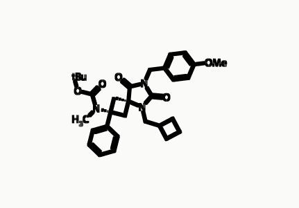 COc1ccc(CN2C(=O)N(CC3CCC3)[C@]3(C[C@@](c4ccccc4)(N(C)C(=O)OC(C)(C)C)C3)C2=O)cc1